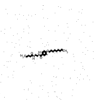 [CH2]CCCC(=O)NCCNC(=O)c1ccc(OCCCCCCCCC)cc1